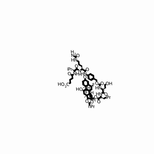 CCCC1O[C@@H]2C[C@H]3[C@@H]4C[C@H](F)C5=CC(=O)C=C[C@]5(C)[C@@]4(F)[C@@H](O)C[C@]3(C)[C@]2(C(=O)COC(=O)[C@H](CC(C)C)NC(=O)[C@H](CCO)NC(=O)OCc2ccc(NC(=O)[C@H](CCCNC(N)=O)NC(=O)[C@@H](NC(=O)CCCC(=O)O)C(C)C)cc2)O1